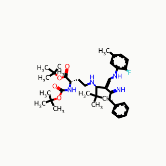 Cc1ccc(F)c(N/C=C(\C(=N)Cc2ccccc2)[C@H](NCC[C@H](NC(=O)OC(C)(C)C)C(=O)OC(C)(C)C)C(C)(C)C)c1